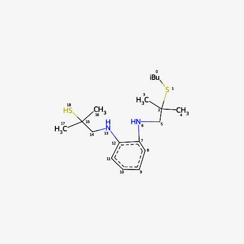 CCC(C)SC(C)(C)CNc1ccccc1NCC(C)(C)S